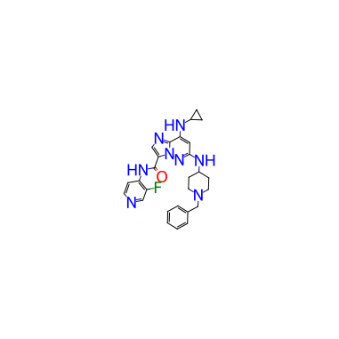 O=C(Nc1ccncc1F)c1cnc2c(NC3CC3)cc(NC3CCN(Cc4ccccc4)CC3)nn12